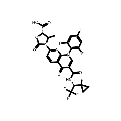 CC1[C@@H](C(=O)O)OC(=O)N1c1ccc2c(=O)c(C(=O)N[C@@H](C(F)(F)F)C3(I)CC3)cn(-c3c(F)cc(F)cc3F)c2n1